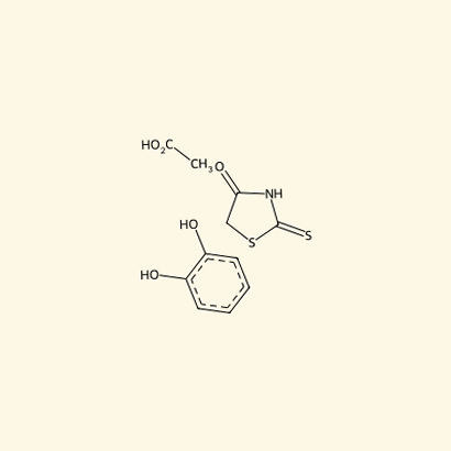 CC(=O)O.O=C1CSC(=S)N1.Oc1ccccc1O